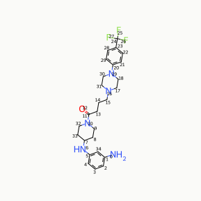 Nc1cccc(NC2CCN(C(=O)CCCN3CCN(c4ccc(C(F)(F)F)cc4)CC3)CC2)c1